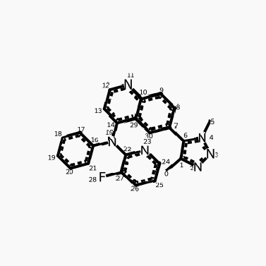 Cc1nnn(C)c1-c1ccc2nccc(N(c3ccccc3)c3ncccc3F)c2c1